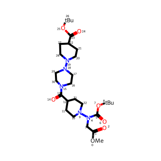 COC(=O)CN(C(=O)OC(C)(C)C)N1CCC(C(=O)N2CCN(N3CCC(C(=O)OC(C)(C)C)CC3)CC2)CC1